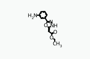 CCOC(=O)/C=C1\NN=C(c2cccc(N)c2)O1